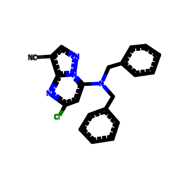 N#Cc1cnn2c(N(Cc3ccccc3)Cc3ccccc3)cc(Cl)nc12